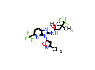 Cc1cc(-n2c(NC(=O)CC(C)(C)C(F)(F)F)nc3ccc(C(F)(F)F)nc32)on1